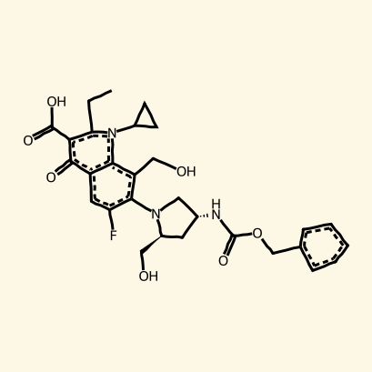 CCc1c(C(=O)O)c(=O)c2cc(F)c(N3C[C@H](NC(=O)OCc4ccccc4)C[C@H]3CO)c(CO)c2n1C1CC1